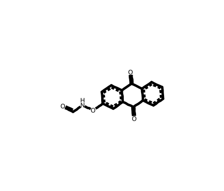 O=CNOc1ccc2c(c1)C(=O)c1ccccc1C2=O